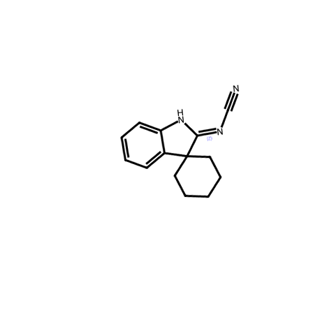 N#C/N=C1\Nc2ccccc2C12CCCCC2